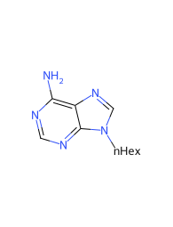 CCCCCCn1cnc2c(N)ncnc21